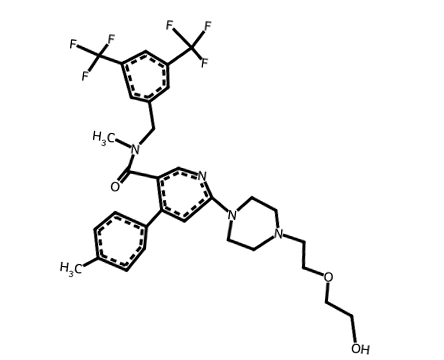 Cc1ccc(-c2cc(N3CCN(CCOCCO)CC3)ncc2C(=O)N(C)Cc2cc(C(F)(F)F)cc(C(F)(F)F)c2)cc1